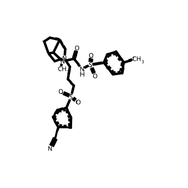 Cc1ccc(S(=O)(=O)NC(=O)N(C)C2C3CCC2CN(CCCS(=O)(=O)c2ccc(C#N)cc2)C3)cc1